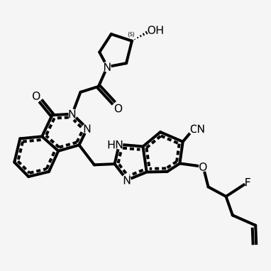 C=CCC(F)COc1cc2nc(Cc3nn(CC(=O)N4CC[C@H](O)C4)c(=O)c4ccccc34)[nH]c2cc1C#N